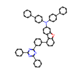 c1ccc(-c2ccc(N(c3ccc(-c4ccccc4)cc3)c3ccc4c(c3)oc3cccc(-c5cccc(-c6nc(-c7ccccc7)nc(-c7ccccc7)n6)c5)c34)cc2)cc1